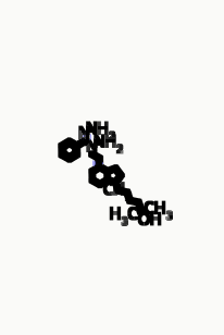 CC(C)(O)CCCCC1CCC2/C(=C/CN(N)/C(=N\N)c3ccccc3)CCCC12C